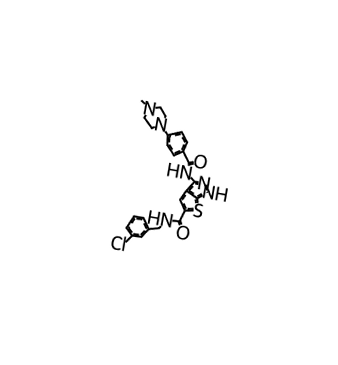 CN1CCN(c2ccc(C(=O)Nc3n[nH]c4sc(C(=O)NCc5cccc(Cl)c5)cc34)cc2)CC1